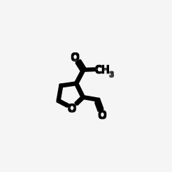 CC(=O)C1CCOC1C=O